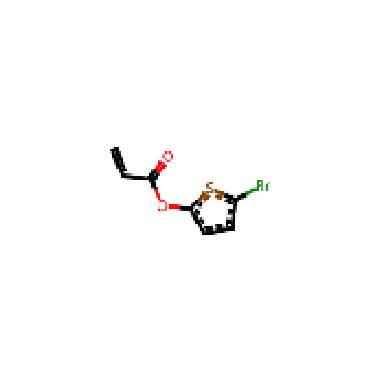 C=CC(=O)Oc1ccc(Br)s1